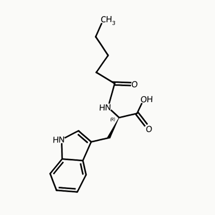 CCCCC(=O)N[C@H](Cc1c[nH]c2ccccc12)C(=O)O